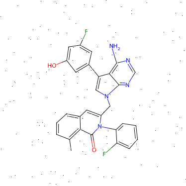 Cc1cccc2cc(Cn3cc(-c4cc(O)cc(F)c4)c4c(N)ncnc43)n(-c3ccccc3F)c(=O)c12